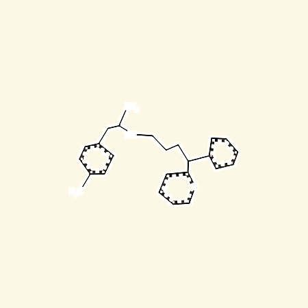 Cc1ccc(CC(C)NCCCC(c2ccccc2)c2ccccn2)cc1